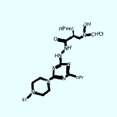 CCCCC[C@@H](CN(O)C=O)C(=O)NNc1nc(CCC)nc(N2CCN(CC)CC2)n1